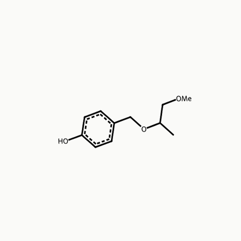 COCC(C)OCc1ccc(O)cc1